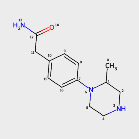 CC1CNCCN1c1ccc(CC(N)=O)cc1